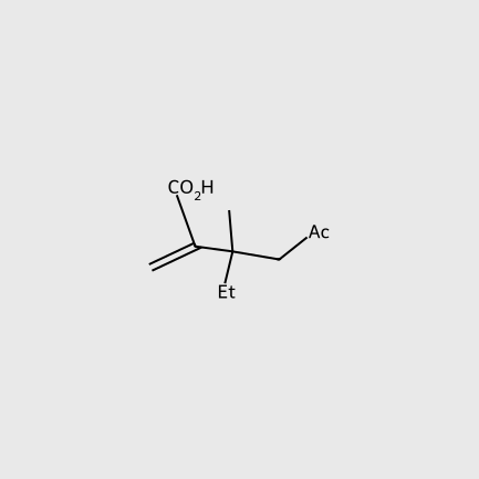 C=C(C(=O)O)C(C)(CC)CC(C)=O